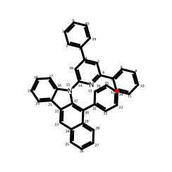 c1ccc(-c2cc(-c3ccccc3)nc(-n3c4ccccc4c4cc5ccccc5c(-c5ccccc5)c43)c2)cc1